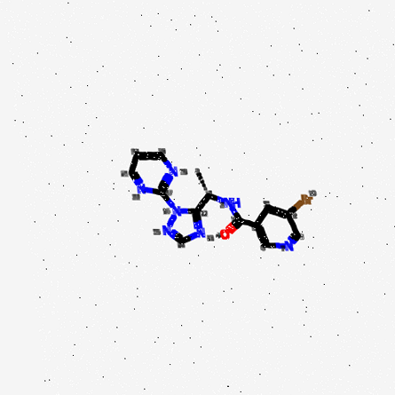 C[C@H](NC(=O)c1cncc(Br)c1)c1ncnn1-c1ncccn1